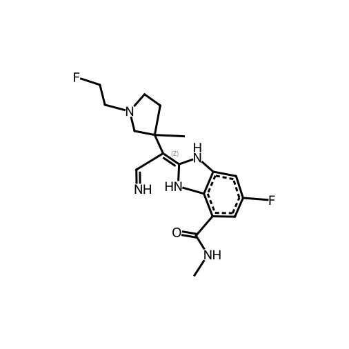 CNC(=O)c1cc(F)cc2c1N/C(=C(\C=N)C1(C)CCN(CCF)C1)N2